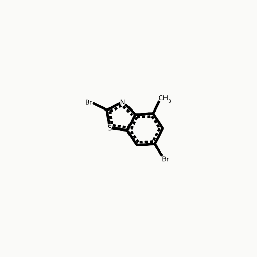 Cc1cc(Br)cc2sc(Br)nc12